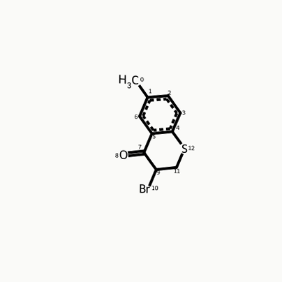 Cc1ccc2c(c1)C(=O)C(Br)CS2